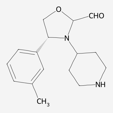 Cc1cccc([C@@H]2COC(C=O)N2C2CCNCC2)c1